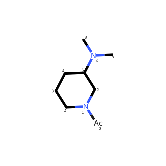 CC(=O)N1CCCC(N(C)C)C1